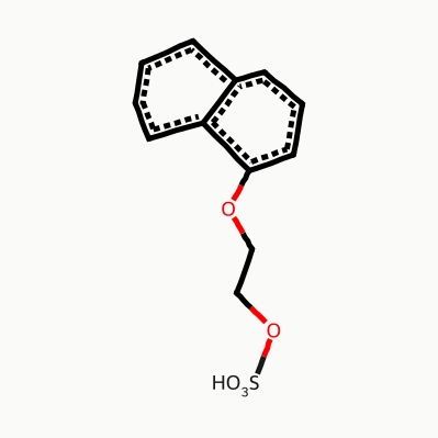 O=S(=O)(O)OCCOc1cccc2ccccc12